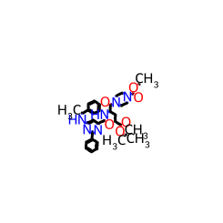 CCOC(=O)N1CCN(C(=O)C(CCC(=O)OC(C)(C)C)NC(=O)c2cc(N[C@@H](C)c3ccccc3)nc(-c3ccccc3)n2)CC1